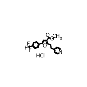 COC(=O)c1cc(-c2ccc(C(F)(F)F)cc2)oc1CCc1ccncc1.Cl